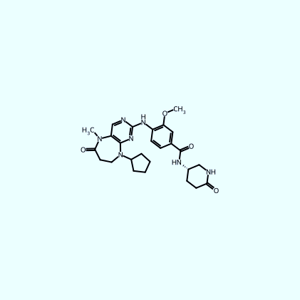 COc1cc(C(=O)N[C@H]2CCC(=O)NC2)ccc1Nc1ncc2c(n1)N(C1CCCC1)CCC(=O)N2C